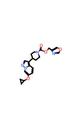 O=C(OCc1cocn1)N1CCC(c2cnn3cc(OC4CC4)ccc23)CC1